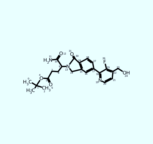 CC(C)(C)OC(=O)CCC(C(N)=O)N1Cc2cc(-c3nccc(CO)c3F)ccc2C1=O